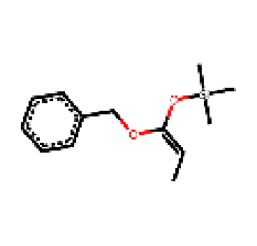 C/C=C(\OCc1ccccc1)O[Si](C)(C)C